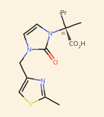 Cc1nc(Cn2ccn([C@](C)(C(=O)O)C(C)C)c2=O)cs1